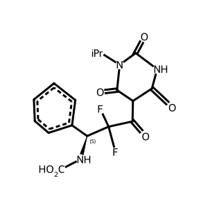 CC(C)N1C(=O)NC(=O)C(C(=O)C(F)(F)[C@@H](NC(=O)O)c2ccccc2)C1=O